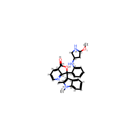 CCOC1CC(Nc2ccccc2C2(c3c(C)n(CC)c4ccccc34)OC(=O)c3cccnc32)CN1